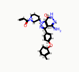 C=CC(=O)N1CCCC(n2nc(-c3ccc(Oc4cccc(C)c4)cc3)c3c(N)n[nH]c(=O)c32)C1